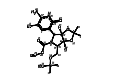 CCc1cc(C2[C@@H]3OC(C)(C)O[C@@H]3[C@@H](CO[Si](C)(C)C(C)(C)C)N2C(=O)OC(C)(C)C)c(=O)[nH]c1N